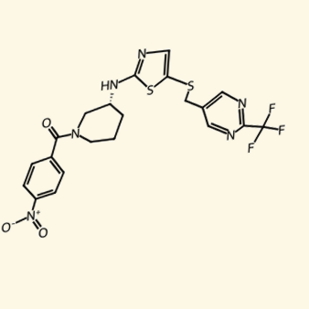 O=C(c1ccc([N+](=O)[O-])cc1)N1CCC[C@@H](Nc2ncc(SCc3cnc(C(F)(F)F)nc3)s2)C1